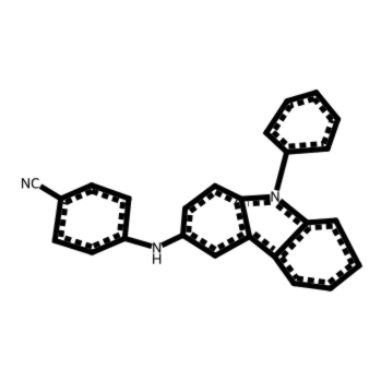 N#Cc1ccc(Nc2ccc3c(c2)c2ccccc2n3-c2ccccc2)cc1